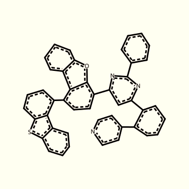 c1ccc(-c2nc(-c3ccccc3-c3ccncc3)cc(-c3ccc(-c4cccc5sc6ccccc6c45)c4c3oc3ccccc34)n2)cc1